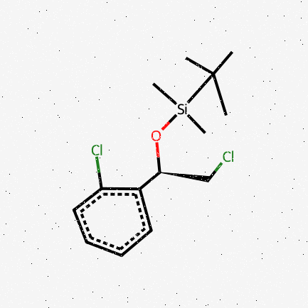 CC(C)(C)[Si](C)(C)O[C@@H](CCl)c1ccccc1Cl